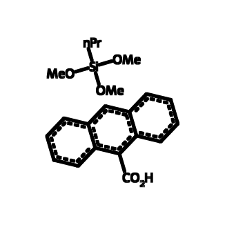 CCC[Si](OC)(OC)OC.O=C(O)c1c2ccccc2cc2ccccc12